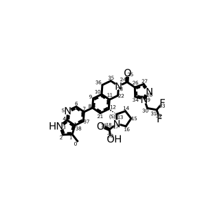 Cc1c[nH]c2ncc(-c3cc4c(c([C@@H]5CCCN5C(=O)O)c3)CN(C(=O)c3cnn(CC(F)F)c3)CC4)cc12